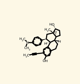 CC#Cc1cc2c(cc1O)CC[C@@H]1[C@@H]2[C@@H](c2ccc(N(C)C)cc2)C[C@]2(C)[C@H](O)CC[C@@H]12